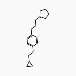 c1cc(OCC2CC2)ccc1CCCN1CCCC1